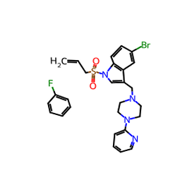 C=CCS(=O)(=O)n1cc(CN2CCN(c3ccccn3)CC2)c2cc(Br)ccc21.Fc1ccccc1